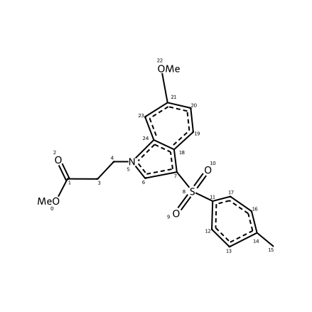 COC(=O)CCn1cc(S(=O)(=O)c2ccc(C)cc2)c2ccc(OC)cc21